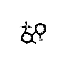 Cc1cccc(S(C)(=O)=O)c1-c1ccccc1O